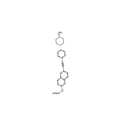 CCCCCCOc1ccc2cc(C#Cc3ccc([C@H]4CC[C@H](CCC)CC4)cc3)ccc2c1